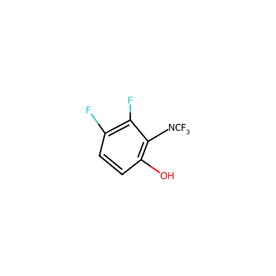 Oc1ccc(F)c(F)c1NC(F)(F)F